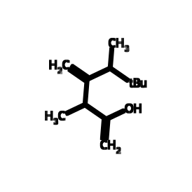 C=C(O)C(C)C(=C)C(C)C(C)(C)C